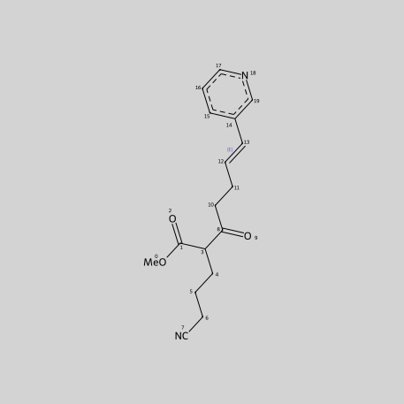 COC(=O)C(CCCC#N)C(=O)CC/C=C/c1cccnc1